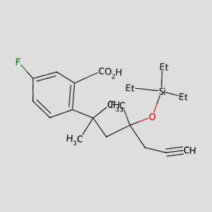 C#CCC(CC(C)(C)c1ccc(F)cc1C(=O)O)(O[Si](CC)(CC)CC)C(F)(F)F